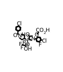 O=C(O)C(F)(F)F.O=C(O)COc1cc(Cl)c(F)cc1N1C[C@H](NC2CCN(C(=O)c3ccc(Cl)cc3)CC2)[C@@H](O)C1